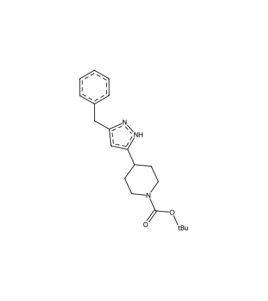 CC(C)(C)OC(=O)N1CCC(c2cc(Cc3ccccc3)n[nH]2)CC1